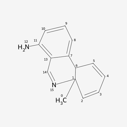 CC12C=CC=CC1c1cccc(N)c1C=N2